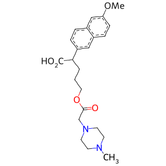 COc1ccc2cc(C(CCCOC(=O)CN3CCN(C)CC3)C(=O)O)ccc2c1